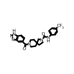 O=C(Nc1ccc(C(F)(F)F)cc1)N1CCC2(CCN(C(=O)c3ccc4[nH]nnc4c3)CC2)C1